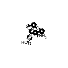 CCc1cccc(C)c1N1C(=C=O)C=C(N2CCN(C(=O)O)CC2)c2cc(F)c(-c3c(N)cccc3Cl)cc21